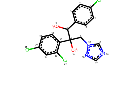 OC(c1ccc(Cl)cc1)C(O)(Cn1cncn1)c1ccc(Cl)cc1Cl